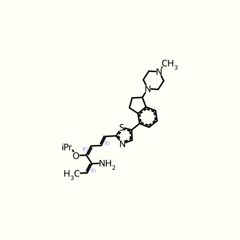 C\C=C(N)/C(=C\C=C\c1ncc(-c2cccc3c2CCC3N2CCN(C)CC2)s1)OC(C)C